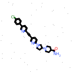 NC(=O)C1CCN([C@H]2CCN(c3ccc(C#Cc4ccc(-c5ccc(Cl)cc5)cn4)cn3)C2)CC1